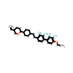 C=CC1CCC(C2CCC(CCc3ccc(-c4ccc(OCC)c(F)c4F)c(F)c3F)CC2)OC1